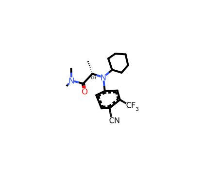 C[C@@H](C(=O)N(C)C)N(c1ccc(C#N)c(C(F)(F)F)c1)C1CCCCC1